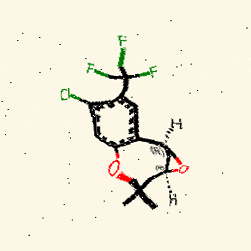 CC1(C)Oc2cc(Cl)c(C(F)(F)F)cc2[C@H]2O[C@H]21